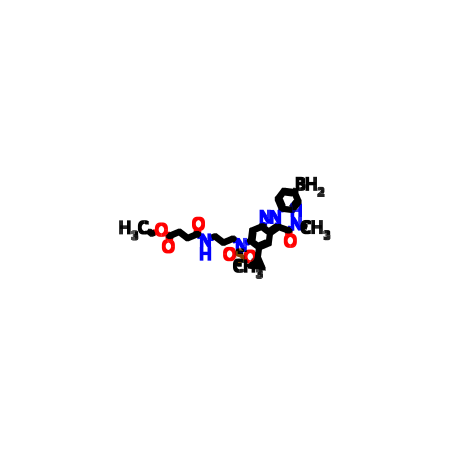 Bc1ccc(-n2nc3cc(N(CCCNC(=O)CCC(=O)OCC)S(C)(=O)=O)c(C4CC4)cc3c2C(=O)NC)cc1